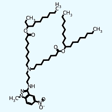 CCCCCCCCC(CC)OC(=O)CCCCCCCN(CCCCCCCC(=O)OC(CCCCCCCC)CCCCCCCC)CCCNc1nn(C)c2ccc([N+](=O)[O-])cc12